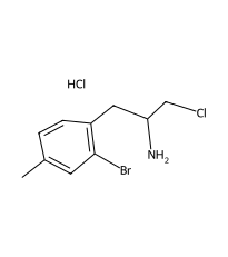 Cc1ccc(CC(N)CCl)c(Br)c1.Cl